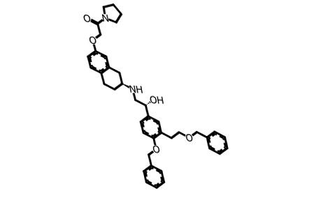 O=C(COc1ccc2c(c1)C[C@@H](NC[C@H](O)c1ccc(OCc3ccccc3)c(CCOCc3ccccc3)c1)CC2)N1CCCC1